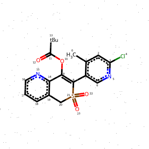 Cc1cc(Cl)ncc1C1=C(OC(=O)C(C)(C)C)c2ncccc2CS1(=O)=O